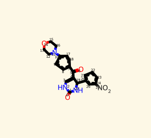 O=C1NC=C(C(=O)c2ccc(N3CCOCC3)cc2)C(c2cccc([N+](=O)[O-])c2)N1